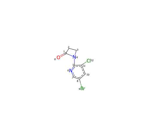 O=C1CCN1c1ncc(Br)cc1Cl